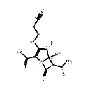 C[C@@H](N)[C@H]1C(=O)N2C(C(=O)O)=C(SCCC#N)[C@H](C)[C@H]12